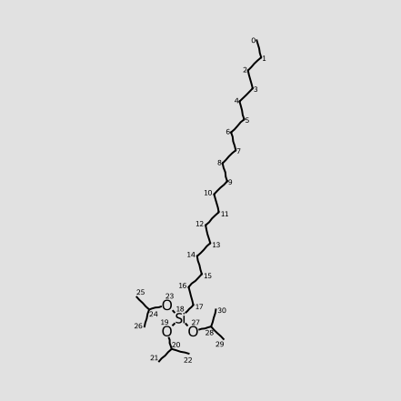 CCCCCCCCCCCCCCCCCC[Si](OC(C)C)(OC(C)C)OC(C)C